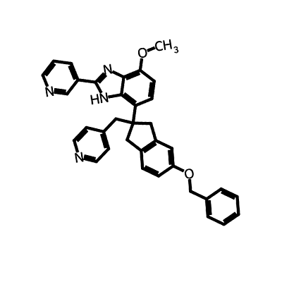 COc1ccc(C2(Cc3ccncc3)Cc3ccc(OCc4ccccc4)cc3C2)c2[nH]c(-c3cccnc3)nc12